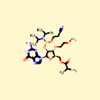 COCCO[C@H]1[C@@H](OP(OCCC#N)N(C(C)C)C(C)C)[C@H](n2cnc3c(=O)[nH]c(N)nc32)O[C@@H]1COC(=O)C(C)C